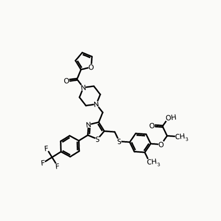 Cc1cc(SCc2sc(-c3ccc(C(F)(F)F)cc3)nc2CN2CCN(C(=O)c3ccco3)CC2)ccc1OC(C)C(=O)O